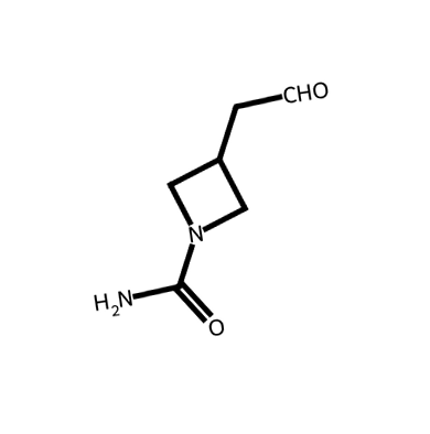 NC(=O)N1CC(CC=O)C1